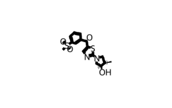 C[C@@H]1CN(c2ncc(C(=O)c3cccc(S(C)(=O)=O)c3)s2)C[C@@H]1O